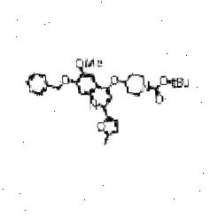 COc1cc2c(OC3CCN(C(=O)OC(C)(C)C)CC3)cc(-c3ccc(C)o3)nc2cc1OCc1ccccc1